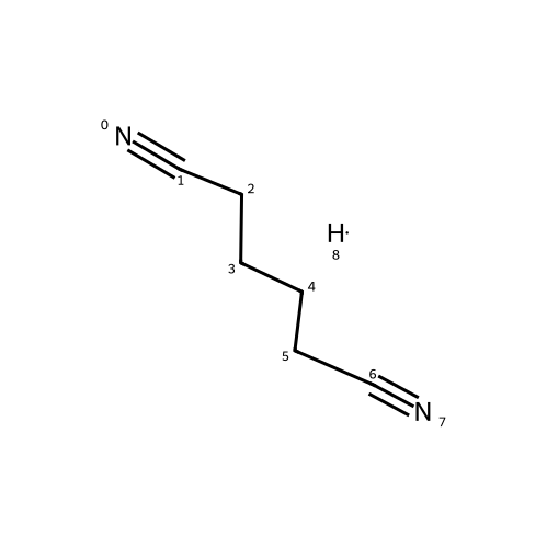 N#CCCCCC#N.[H]